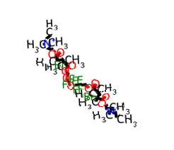 CCC[N+](C)(C)CCOC(=O)C(C)(Br)CC(C)(C)C(=O)OCOC(F)(F)OC(F)(F)C(F)(F)COC(=O)C(C)(C)CC(C)(Br)C(=O)OCC[N+](C)(C)CCC